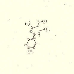 CCON(OC(C)CCO)c1ccc(C)cc1